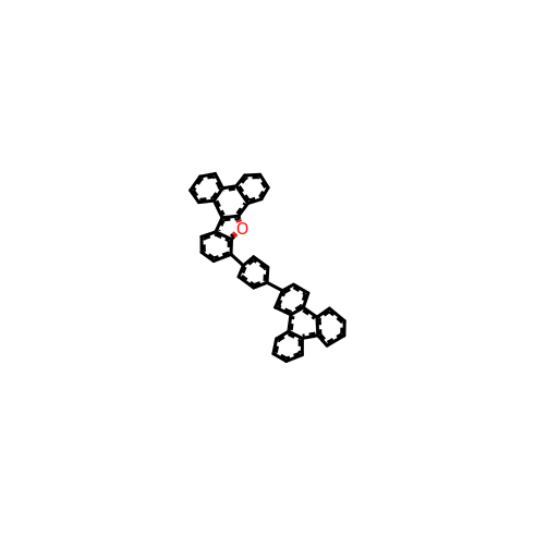 c1ccc2c(c1)c1ccccc1c1cc(-c3ccc(-c4cccc5c4oc4c6ccccc6c6ccccc6c54)cc3)ccc21